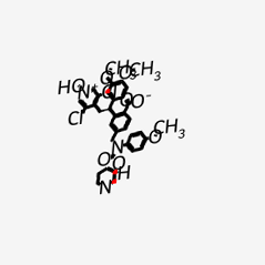 COc1ccc(N(Cc2ccc(C(=O)[O-])c([C@@H](Cc3c(Cl)c[n+](O)cc3Cl)c3ccc(OC)c(OC)c3)c2)C(=O)O[C@H]2CN3CCC2CC3)cc1